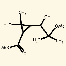 COC(=O)C1C(C(O)C(C)(C)OC)C1(C)C